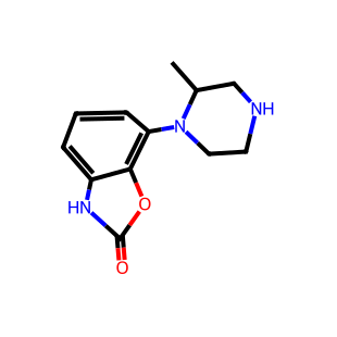 CC1CNCCN1c1cccc2[nH]c(=O)oc12